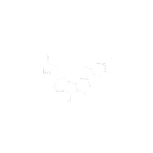 CCn1ccc(-c2ccc3c(c2)c2cc(-c4ccc(Cl)cc4Cl)c(=O)n(C)c2n3C(F)F)n1